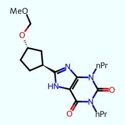 CCCn1c(=O)c2[nH]c([C@H]3CC[C@H](OCOC)C3)nc2n(CCC)c1=O